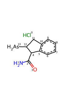 Cl.NC(=O)C1c2cc[c]cc2CC1[AsH2]